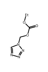 CCOC(=O)OCn1[c]nnn1